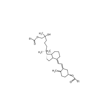 C=C1CC[C@H](OC(=O)CC)C/C1=C/C=C1CCC[C@@]2(C)C1CC[C@@H]2[C@H](C)CCCC(C)(O)COC(=O)CC